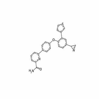 NC(=O)c1cccc(-c2ccc(Oc3ccc(C4C=N4)cc3-c3ccsc3)cc2)n1